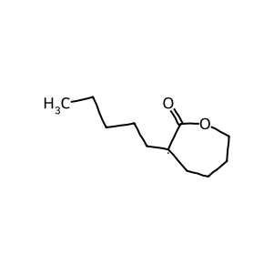 CCCCC[C]1CCCCOC1=O